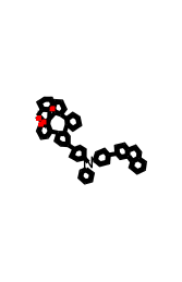 c1ccc(N(c2ccc(-c3ccc4c(c3)-c3ccccc3-c3ccccc3C3(c5ccccc5-4)c4ccccc4-c4ccccc43)cc2)c2ccc(-c3ccc4ccc5ccccc5c4c3)cc2)cc1